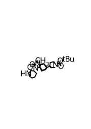 Cn1c(=O)n(C2CCCCNC2=O)c2ccc(C3=CCN(C(=O)OC(C)(C)C)CC3)cc21